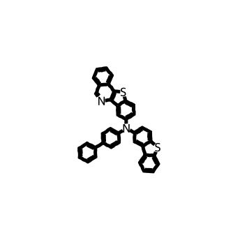 c1ccc(-c2ccc(N(c3ccc4sc5ccccc5c4c3)c3ccc4sc5c6ccccc6cnc5c4c3)cc2)cc1